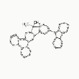 CC1(C)c2ccc(-n3c4ccccc4c4ccccc43)cc2-c2cc3c(cc21)c1c#cccc1c1ccccc13